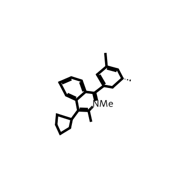 C=C(C1=CC(C)=C[C@H](C)C1)c1ccccc1/C(=C(/C)NC)C1CCCC1